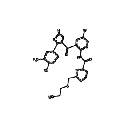 O=C(Nc1ncc(Br)cc1C(=O)c1c[nH]nc1-c1ccc(Cl)c(C(F)(F)F)c1)c1cccc(CSCCO)c1